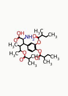 CCC(C)C(=O)Oc1ccc(C(C(C)C(C)OC(=O)C(C)C)[C@H](N)C(=O)O)cc1OC(=O)C(C)CC